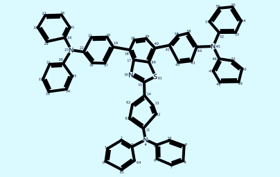 c1ccc(N(c2ccccc2)c2ccc(-c3nc4c(-c5ccc(N(c6ccccc6)c6ccccc6)cc5)ccc(-c5ccc(N(c6ccccc6)c6ccccc6)cc5)c4s3)cc2)cc1